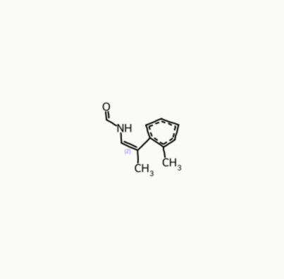 C/C(=C/NC=O)c1ccccc1C